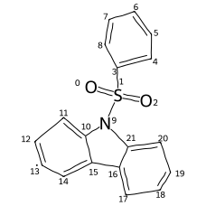 O=S(=O)(c1ccccc1)n1c2cc[c]cc2c2ccccc21